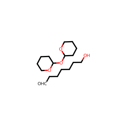 C1CCC(OC2CCCCO2)OC1.O=CCCCCCCO